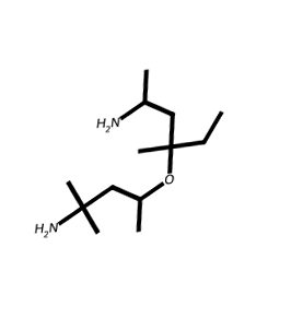 CCC(C)(CC(C)N)OC(C)CC(C)(C)N